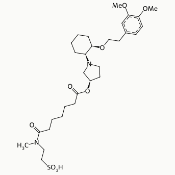 COc1ccc(CCO[C@@H]2CCCC[C@@H]2N2CC[C@@H](OC(=O)CCCCCC(=O)N(C)CCS(=O)(=O)O)C2)cc1OC